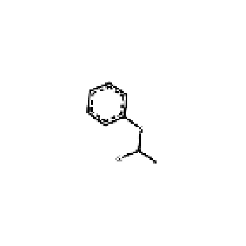 CC([S])Sc1ccccc1